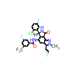 [2H]C1(c2cc(F)ccc2Cl)NC(=O)c2c1c(NC(=O)c1cc(F)cc(C(F)(F)F)c1)cc1c(/C=C/F)n(C)nc21